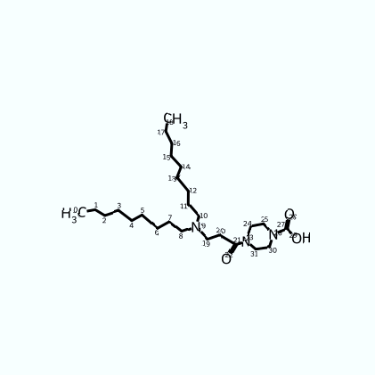 CCCCCCCCCN(CCCCCCCCC)CCC(=O)N1CCN(C(=O)O)CC1